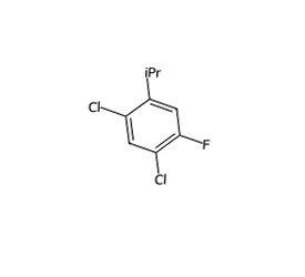 CC(C)c1cc(F)c(Cl)cc1Cl